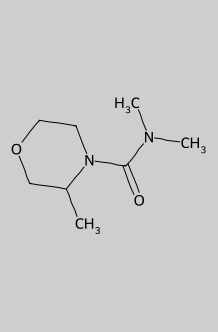 CC1COCCN1C(=O)N(C)C